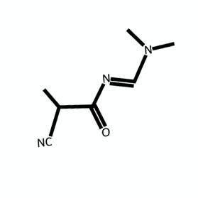 CC(C#N)C(=O)/N=C/N(C)C